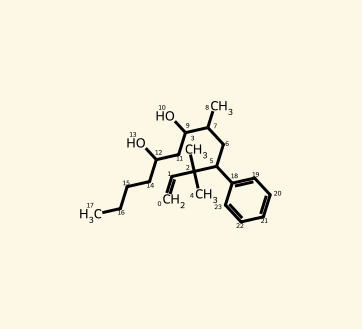 C=CC(C)(C)C(CC(C)C(O)CC(O)CCCC)c1ccccc1